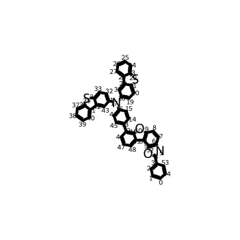 c1ccc(-c2nc3ccc4oc5c(-c6ccc(N(c7ccc8sc9ccccc9c8c7)c7ccc8sc9ccccc9c8c7)cc6)cccc5c4c3o2)cc1